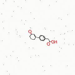 O=C(O)Cc1ccc(C2=CC(=O)CCC2)cc1